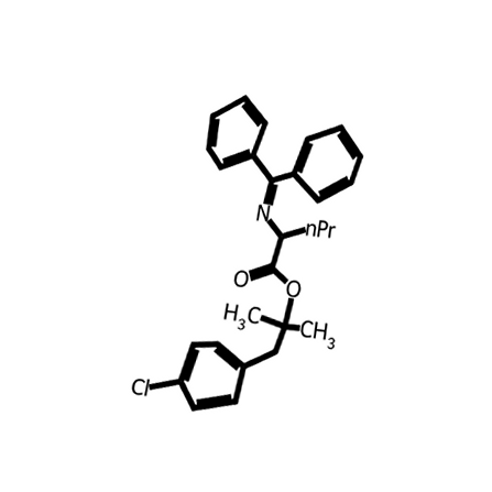 CCCC(N=C(c1ccccc1)c1ccccc1)C(=O)OC(C)(C)Cc1ccc(Cl)cc1